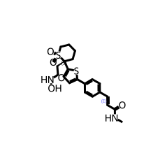 CNC(=O)/C=C/c1ccc(-c2ccc([C@@]3(CC(=O)NO)CCCCS3(=O)=O)s2)cc1